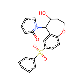 O=c1ccccn1C1c2cc(S(=O)(=O)c3ccccc3)ccc2OCCC1O